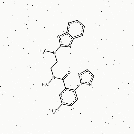 Cc1ccc(-n2nccn2)c(C(=O)N(C)CCN(C)c2nc3ccccc3o2)c1